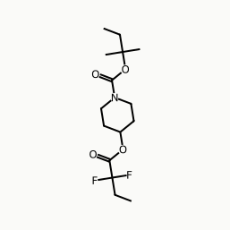 CCC(C)(C)OC(=O)N1CCC(OC(=O)C(F)(F)CC)CC1